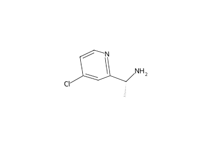 C[C@@H](N)c1cc(Cl)ccn1